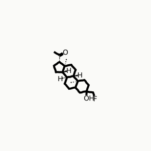 CC(=O)[C@H]1CC[C@H]2[C@@H]3CCC4CC(O)(CF)CC[C@]4(C)[C@H]3CC[C@]12C